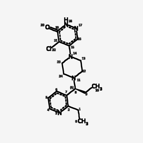 CCc1ncccc1[C@H](CC)N1CCN(c2cn[nH]c(=O)c2Cl)CC1